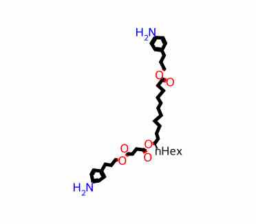 CCCCCC[C@H](CCCCCCCCCCC(=O)OCCCc1ccc(N)cc1)OC(=O)CCC(=O)OCCCc1ccc(N)cc1